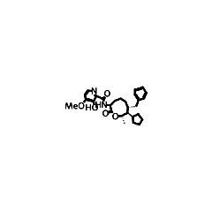 COc1ccnc(C(=O)N[C@H]2CCC[C@H](Cc3ccccc3)[C@@H](C3CCCC3)[C@H](C)OC2=O)c1O